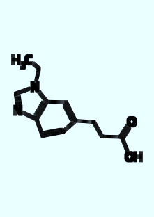 CCn1cnc2ccc(CCC(=O)O)cc21